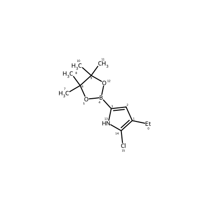 CCc1cc(B2OC(C)(C)C(C)(C)O2)[nH]c1Cl